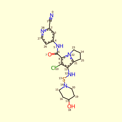 N#Cc1cc(NC(=O)c2c(Cl)c(NSN3CCC(O)CC3)c3n2CCC3)ccn1